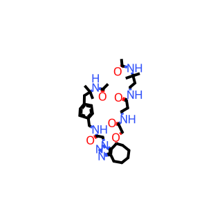 CC(=O)NC(C)(C)CCNC(=O)CCNC(=O)COC1CCCCCc2nnn(CC(=O)NCc3ccc(CC(C)(C)NC(C)=O)cc3)c21